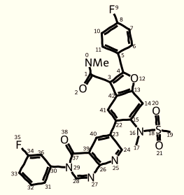 CNC(=O)c1c(-c2ccc(F)cc2)oc2cc(N(C)S(C)(=O)=O)c(-c3cnc4ncn(-c5cccc(F)c5)c(=O)c4c3)cc12